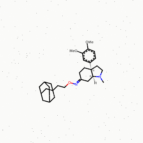 COc1ccc([C@@]23CCC(=NOCCC45CC6CC(CC(C6)C4)C5)C[C@@H]2N(C)CC3)cc1OC